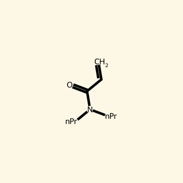 C=CC(=O)N(CCC)CCC